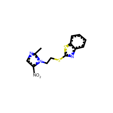 Cc1ncc([N+](=O)[O-])n1CCSc1nc2ccccc2s1